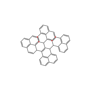 C1=CC(C2=C(C3C=Cc4cccc5cccc3c45)C(C3C=Cc4cccc5cccc3c45)c3cccc4cccc2c34)c2cccc3cccc1c23